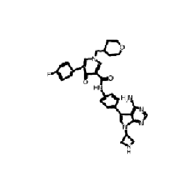 Nc1ncnc2c1c(-c1ccc(NC(=O)c3cn(CC4CCOCC4)cc(-c4ccc(F)cc4)c3=O)cc1)cn2C1CNC1